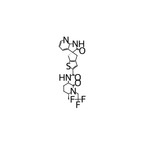 C[C@H]1CC[C@@H](NC(=O)c2cc3c(s2)C[C@@]2(C3)C(=O)Nc3ncccc32)C(=O)N1CC(F)(F)F